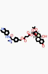 CN(C)C(C(=O)Nc1ccc2cnccc2c1)c1ccc(COC(=O)CCC(=O)OCC(=O)[C@@]23OC(C)(C)O[C@@H]2C[C@H]2C4CCC5=CC(=O)C=C[C@]5(C)[C@@]4(F)[C@@H](O)C[C@@]23C)cc1